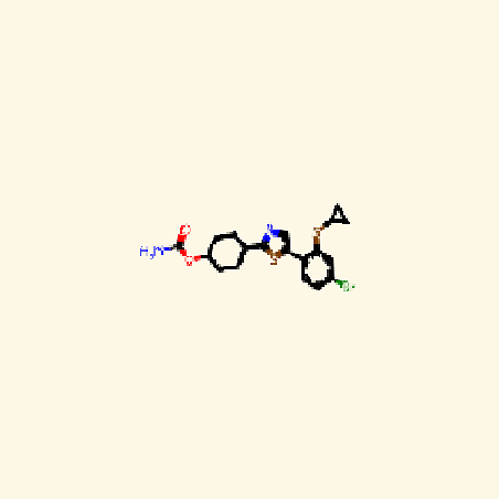 NC(=O)OC1CCC(c2ncc(-c3ccc(Br)cc3SC3CC3)s2)CC1